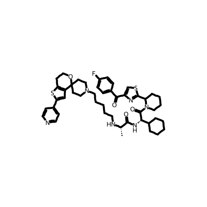 C[C@H](NCCCCCN1CCC2(CC1)OCCc1sc(-c3ccncc3)cc12)C(=O)N[C@H](C(=O)N1CCCCC1c1nc(C(=O)c2ccc(F)cc2)cs1)C1CCCCC1